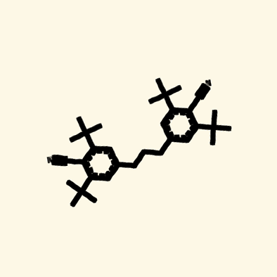 CC(C)(C)c1cc(CCCc2cc(C(C)(C)C)c(C#N)c(C(C)(C)C)c2)cc(C(C)(C)C)c1C#N